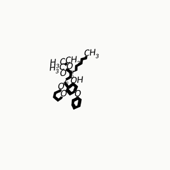 CCCCCC[C@H](C(=O)OC(C)(C)C)[C@@H](O)C[C@@H](OC1CCCCO1)c1ccc(Oc2ccccc2)cc1